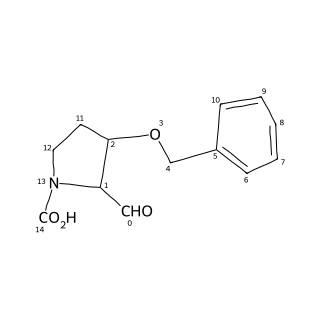 O=CC1C(OCc2ccccc2)CCN1C(=O)O